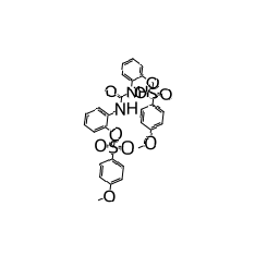 COc1ccc(S(=O)(=O)Oc2ccccc2NC(=O)Nc2ccccc2OS(=O)(=O)c2ccc(OC)cc2)cc1